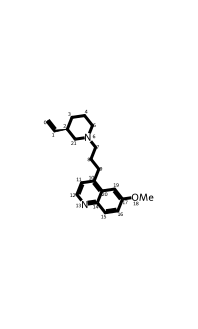 C=C[C@H]1CCCN(CCCc2ccnc3ccc(OC)cc23)C1